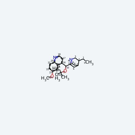 CCC1CN2CCC1CC2C(OC(C)(C)C)c1ccnc2ccc(OC)cc12